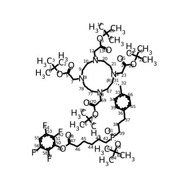 CC(C)(C)OC(=O)CN1CCN(CC(=O)OC(C)(C)C)CCN(CC(=O)OC(C)(C)C)[C@H](Cc2ccc(CCCP(=O)(CCCCCC(=O)Oc3c(F)c(F)cc(F)c3F)OC(C)(C)C)cc2)CN(CC(=O)OC(C)(C)C)CC1